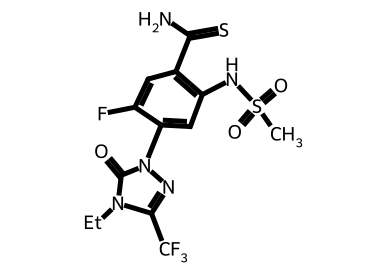 CCn1c(C(F)(F)F)nn(-c2cc(NS(C)(=O)=O)c(C(N)=S)cc2F)c1=O